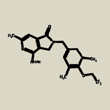 CC(=O)Nc1nc(C)cc2c1CN(CC1=CC(C)=C(OCC(F)(F)F)N(C)C1)C2=O